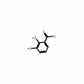 NC(=O)c1cccc(N)c1[N+](=O)[O-]